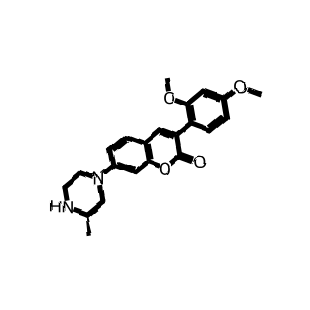 COc1ccc(-c2cc3ccc(N4CCN[C@H](C)C4)cc3oc2=O)c(OC)c1